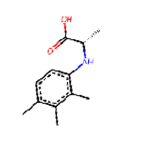 Cc1ccc(N[C@@H](C)C(=O)O)c(C)c1C